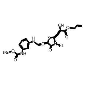 C=CCOC(=O)C(=C=c1sc(=C=CNc2cccc(NC(=O)OC(C)(C)C)c2)c(=O)n1CC)C#N